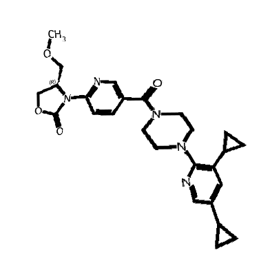 COC[C@@H]1COC(=O)N1c1ccc(C(=O)N2CCN(c3ncc(C4CC4)cc3C3CC3)CC2)cn1